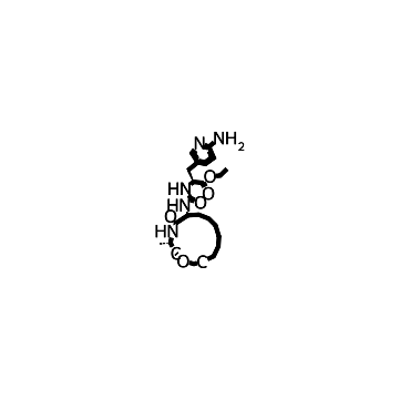 CCOC(=O)[C@H](Cc1ccc(N)nc1)NC(=O)N[C@@H]1CCCCCCCCOC[C@H](C)NC1=O